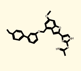 CCc1ccc(-c2cccc(OCc3cc(OC)cc4oc(-c5c[nH]c(SC(C)=N)n5)cc34)c2)cc1